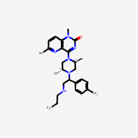 CC[C@@H]1CN(c2nc(=O)n(C)c3ccc(C#N)nc23)[C@@H](C)CN1C(CNCCC(F)(F)F)c1ccc(C(F)(F)F)cc1